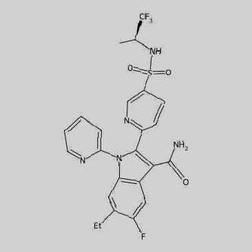 CCc1cc2c(cc1F)c(C(N)=O)c(-c1ccc(S(=O)(=O)N[C@@H](C)C(F)(F)F)cn1)n2-c1ccccn1